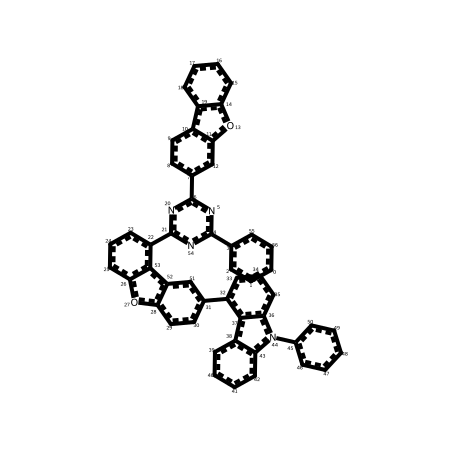 c1ccc(-c2nc(-c3ccc4c(c3)oc3ccccc34)nc(-c3cccc4oc5ccc(-c6cccc7c6c6ccccc6n7-c6ccccc6)cc5c34)n2)cc1